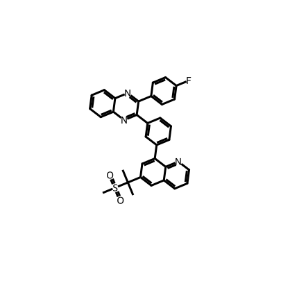 CC(C)(c1cc(-c2cccc(-c3nc4ccccc4nc3-c3ccc(F)cc3)c2)c2ncccc2c1)S(C)(=O)=O